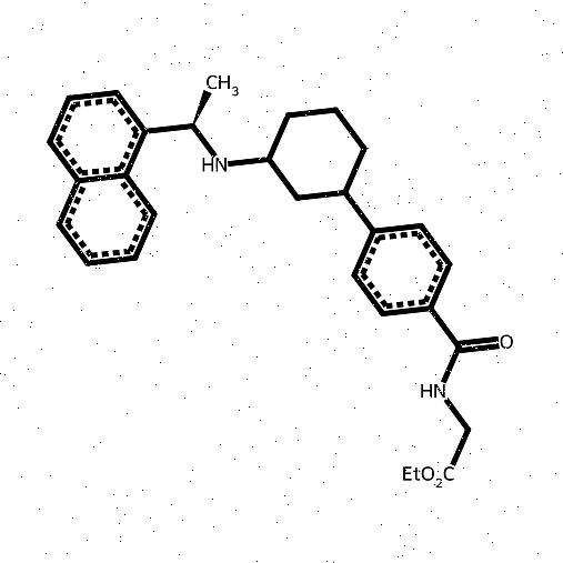 CCOC(=O)CNC(=O)c1ccc(C2CCCC(N[C@H](C)c3cccc4ccccc34)C2)cc1